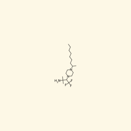 CCCCCCCC(C)N1CCN(C(C(C)(C)N)C(F)(F)F)CC1